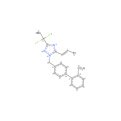 CCC=Cc1nc(C(F)(F)CCCC)nn1Cc1ccc(-c2ccccc2C(=O)O)cc1